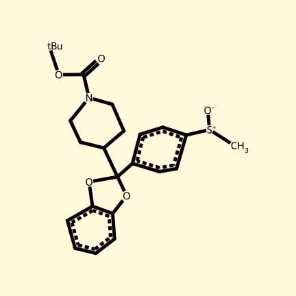 C[S+]([O-])c1ccc(C2(C3CCN(C(=O)OC(C)(C)C)CC3)Oc3ccccc3O2)cc1